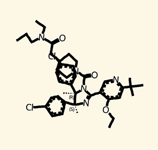 CCCN(CC)C(=O)CC1CCN(C(=O)N2C(c3cnc(C(C)(C)C)cc3OCC)=N[C@@](C)(c3ccc(Cl)cc3)[C@@]2(C)c2ccc(Cl)cc2)CC1